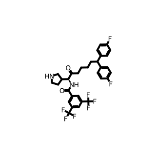 O=C(N[C@H](C(=O)CCCCC(c1ccc(F)cc1)c1ccc(F)cc1)C1CCNC1)c1cc(C(F)(F)F)cc(C(F)(F)F)c1